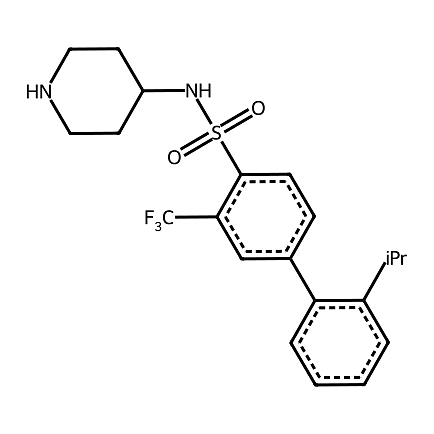 CC(C)c1ccccc1-c1ccc(S(=O)(=O)NC2CCNCC2)c(C(F)(F)F)c1